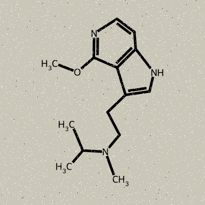 COc1nccc2[nH]cc(CCN(C)C(C)C)c12